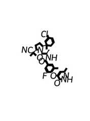 Cc1cc(Oc2c(C)cc(C(=O)N[C@H](C)C(=O)N3[C@H](C4(C)C=C(Cl)C=CC4)CC[C@@H]3C(C)(C)C#N)cc2F)c(=O)[nH]n1